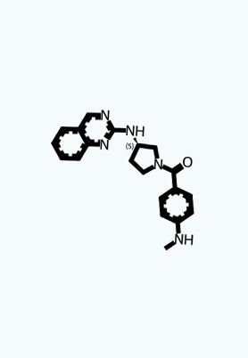 CNc1ccc(C(=O)N2CC[C@H](Nc3ncc4ccccc4n3)C2)cc1